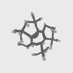 FC(F)(F)c1c(CBr)c(C(F)(F)F)c(C(F)(F)F)c(CBr)c1C(F)(F)F